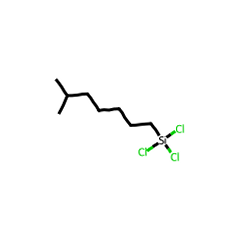 CC(C)CCCCC[Si](Cl)(Cl)Cl